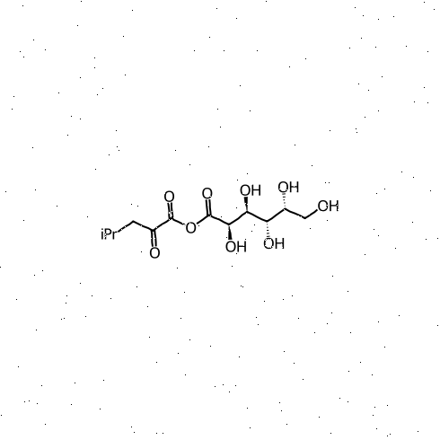 CC(C)CC(=O)C(=O)OC(=O)[C@H](O)[C@@H](O)[C@@H](O)[C@H](O)CO